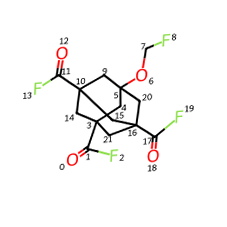 O=C(F)C12CC3(OCF)CC(C(=O)F)(C1)CC(C(=O)F)(C3)C2